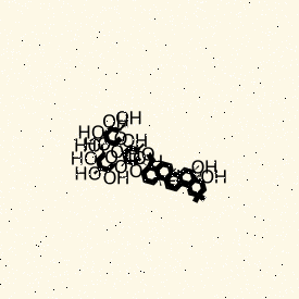 C[C@H]1O[C@@H](O[C@H]2CC[C@@]3(C)[C@@H](CC[C@]4(C)[C@@H]3C=CC3=C5CC(C)(C)CC[C@]5(CO)[C@@H](O)C[C@]34C)[C@]2(C)CO)[C@H](O[C@@H]2O[C@H](CO)[C@@H](O)[C@H](O)[C@H]2O)[C@@H](O[C@@H]2O[C@H](CO)[C@@H](O)[C@H](O)[C@H]2O)[C@H]1O